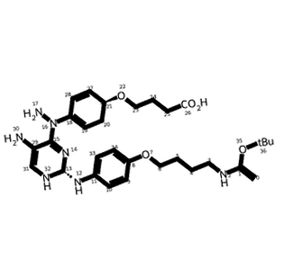 C=C(NCCCCOc1ccc(N[C@H]2N=C(N(N)C3=CC[C@H](OCCCC(=O)O)C=C3)C(N)=CN2)cc1)OC(C)(C)C